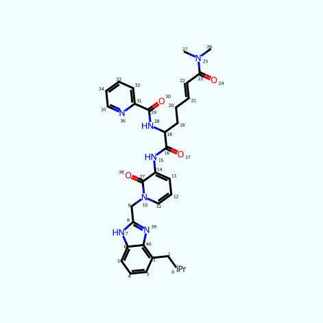 CC(C)Cc1cccc2[nH]c(Cn3cccc(NC(=O)C(CC/C=C/C(=O)N(C)C)NC(=O)c4ccccn4)c3=O)nc12